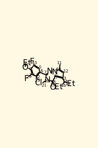 CCOc1c(F)cc(-c2nn3c(C)cc(C(CC)CC)c3c(=O)n2C)c(Cl)c1F